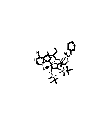 CCC(CC)COC(=O)[C@H](C)NP(=O)(OCC1O[C@@](C#N)(c2ccc3c(N)ncnn23)C(O[Si](C)(C)C(C)(C)C)C1O[Si](C)(C)C(C)(C)C)Oc1ccccc1